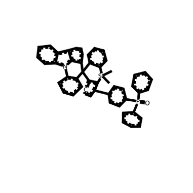 C[Si]1(C)c2ccccc2C2(c3ccccc3-n3c4ccccc4c4cccc2c43)c2cccc(-c3ccc(P(=O)(c4ccccc4)c4ccccc4)cc3)c21